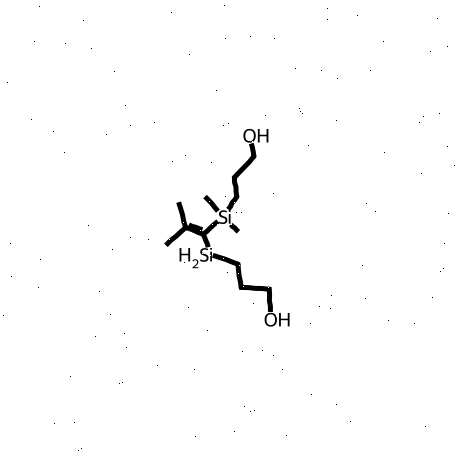 CC(C)=C([SiH2]CCCO)[Si](C)(C)CCCO